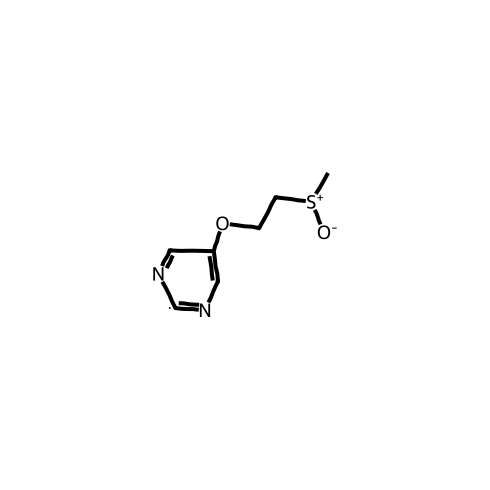 C[S+]([O-])CCOc1cn[c]nc1